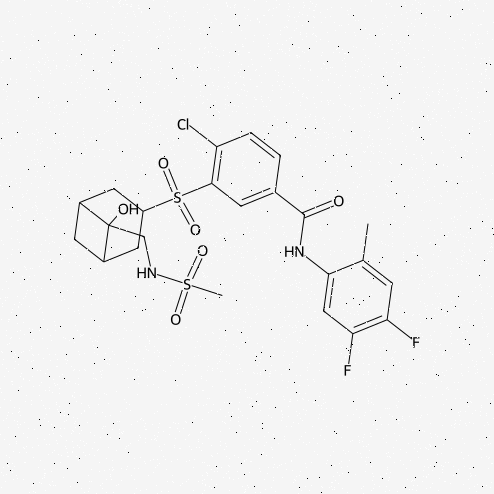 Cc1cc(F)c(F)cc1NC(=O)c1ccc(Cl)c(S(=O)(=O)C2CC3CC(C2)C3(O)CNS(C)(=O)=O)c1